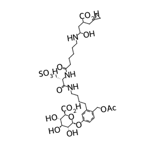 CC(=O)OCc1ccc(O[C@@H]2O[C@H](C(=O)O)[C@@H](O)[C@H](O)[C@H]2O)cc1CCCCNC(=O)[C@H](CS(=O)(=O)O)NC(=O)CCCCCNC(O)CC(CC1=CC1)C(=O)O